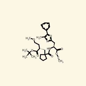 CCOC(=O)[C@H](Cc1nc(C)c(-c2ccccc2)o1)NC(=O)C1(C[C@@H](CCOC)C(=O)OC(C)(C)C)CCCC1